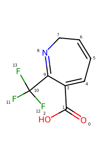 O=C(O)C1=CC=CCN=C1C(F)(F)F